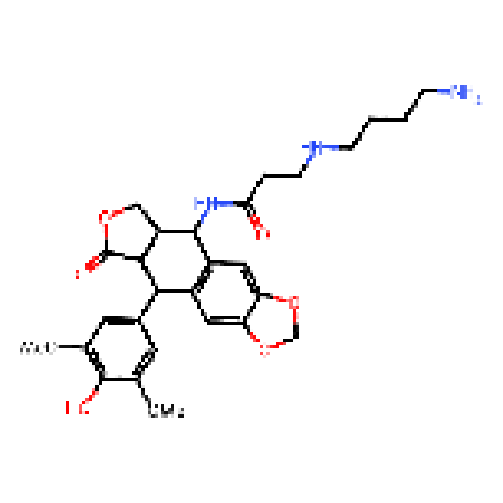 COc1cc(C2c3cc4c(cc3C(NC(=O)CCNCCCCN)C3COC(=O)C23)OCO4)cc(OC)c1O